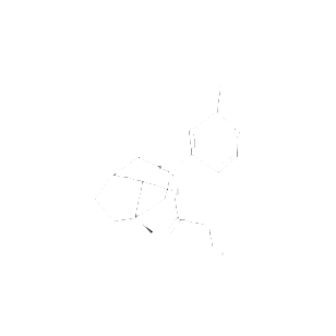 CC(C)(C)OC(=O)N[C@@H]1C2CC[C@H]1CN(c1ccnc(Cl)c1)C2